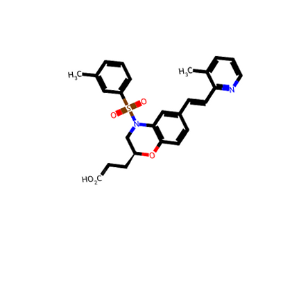 Cc1cccc(S(=O)(=O)N2C[C@H](CCC(=O)O)Oc3ccc(/C=C/c4ncccc4C)cc32)c1